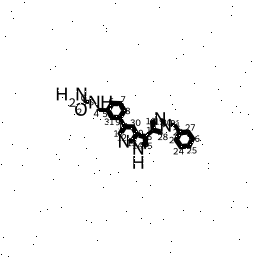 NC(=O)NCc1cccc(-c2cnc3[nH]cc(-c4cnn(Cc5ccccc5)c4)c3c2)c1